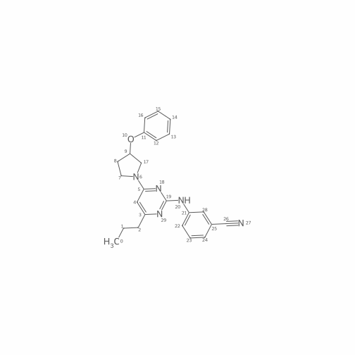 CCCc1cc(N2CCC(Oc3ccccc3)C2)nc(Nc2cccc(C#N)c2)n1